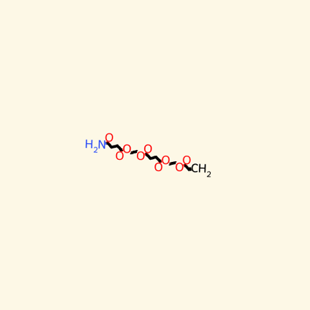 C=CC(=O)OCCOC(=O)CCC(=O)OCCOC(=O)CCC(N)=O